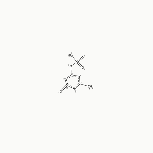 CCC(C)S(=O)(=O)Oc1cc(C)oc(=O)c1